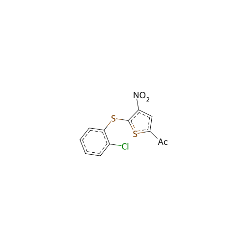 CC(=O)c1cc([N+](=O)[O-])c(Sc2ccccc2Cl)s1